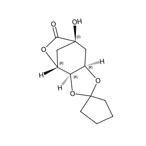 O=C1O[C@@H]2C[C@@]1(O)C[C@H]1OC3(CCCC3)O[C@@H]21